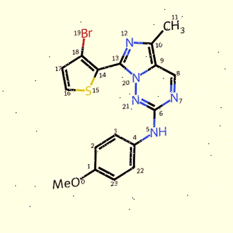 COc1ccc(Nc2ncc3c(C)nc(-c4sccc4Br)n3n2)cc1